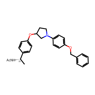 CC(=O)N[C@@H](C)c1ccc(OC2CCN(c3ccc(OCc4ccccc4)cc3)C2)cc1